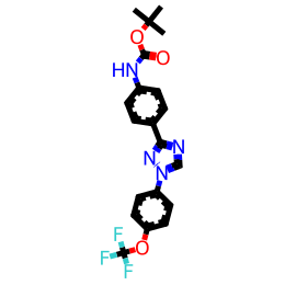 CC(C)(C)OC(=O)Nc1ccc(-c2ncn(-c3ccc(OC(F)(F)F)cc3)n2)cc1